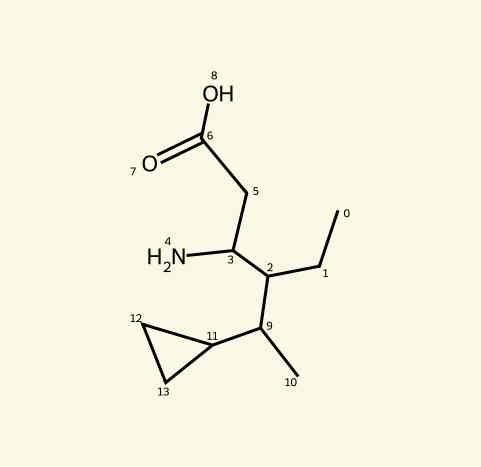 CCC(C(N)CC(=O)O)C(C)C1CC1